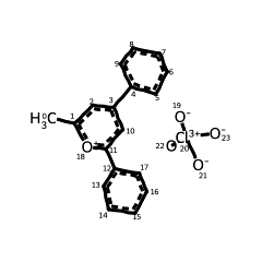 Cc1cc(-c2ccccc2)cc(-c2ccccc2)[o+]1.[O-][Cl+3]([O-])([O-])[O-]